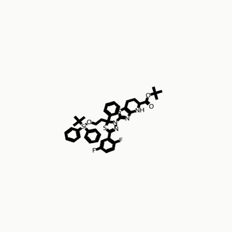 CC(C)(C)OC(=O)C1CCc2sc(N3N=C(c4cc(F)ccc4F)SC3(CCO[Si](c3ccccc3)(c3ccccc3)C(C)(C)C)c3ccccc3)nc2N1